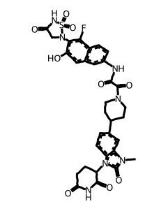 Cn1c(=O)n(C2CCC(=O)NC2=O)c2ccc(C3CCN(C(=O)C(=O)Nc4ccc5c(F)c(N6CC(=O)NS6(=O)=O)c(O)cc5c4)CC3)cc21